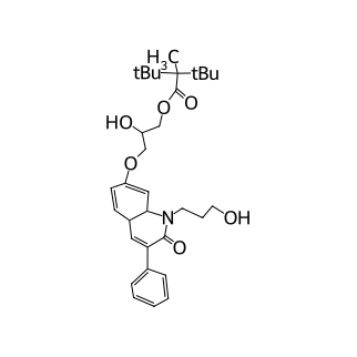 CC(C)(C)C(C)(C(=O)OCC(O)COC1=CC2C(C=C1)C=C(c1ccccc1)C(=O)N2CCCO)C(C)(C)C